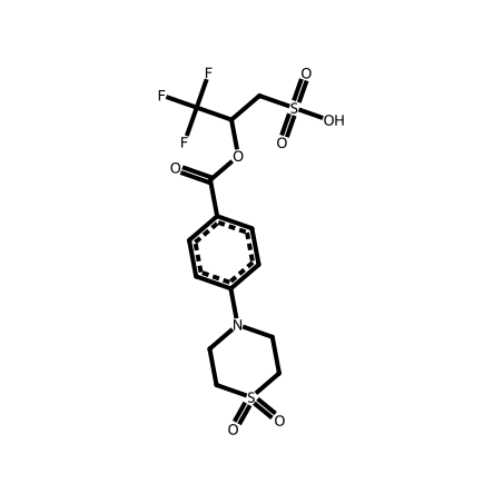 O=C(OC(CS(=O)(=O)O)C(F)(F)F)c1ccc(N2CCS(=O)(=O)CC2)cc1